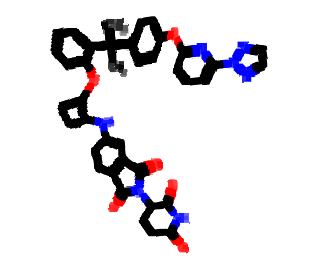 CC(C)(c1ccc(Oc2cccc(-n3nccn3)n2)cc1)c1ccccc1OC1CCC1Nc1ccc2c(c1)C(=O)N(C1CCC(=O)NC1=O)C2=O